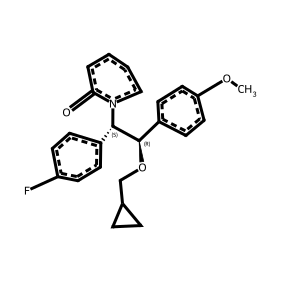 COc1ccc([C@@H](OCC2CC2)[C@H](c2ccc(F)cc2)n2ccccc2=O)cc1